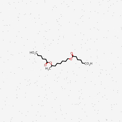 CC(CCCCCCOC(=O)CCCCC(=O)O)OC(=O)CCCCC(=O)O